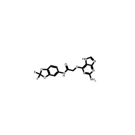 Nc1nc(SCC(=O)Nc2ccc3c(c2)OC(F)(F)O3)c2[nH]cnc2n1